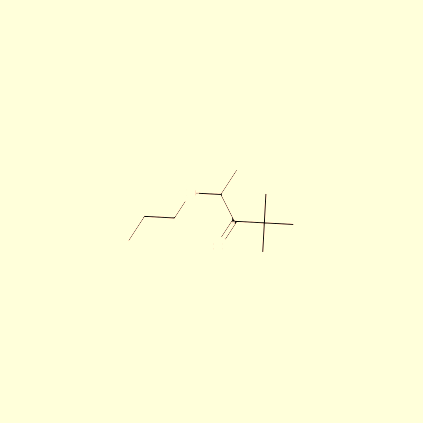 CCCOC(C)C(=O)C(C)(C)C